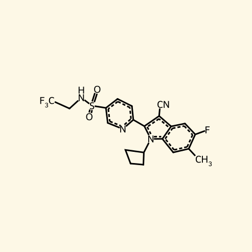 Cc1cc2c(cc1F)c(C#N)c(-c1ccc(S(=O)(=O)NCC(F)(F)F)cn1)n2C1CCC1